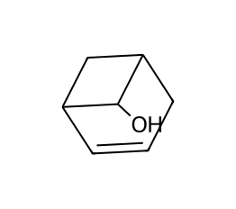 OC1C2C=CCC1C2